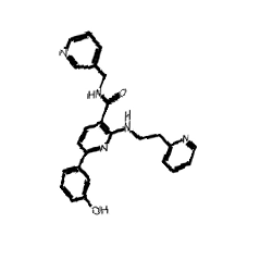 O=C(NCc1cccnc1)c1ccc(-c2cccc(O)c2)nc1NCCc1ccccn1